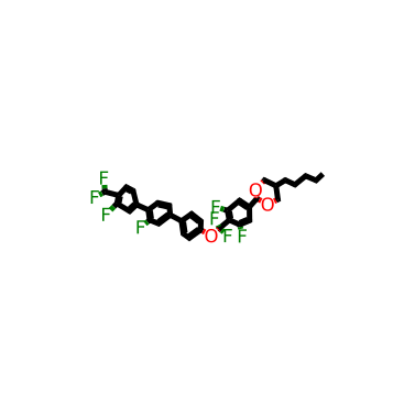 CCCCCC1COC(c2cc(F)c(C(F)(F)Oc3ccc(-c4ccc(-c5ccc(C(F)F)c(F)c5)c(F)c4)cc3)c(F)c2)OC1